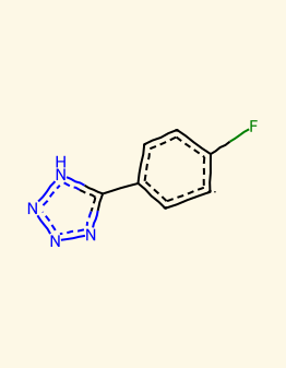 Fc1[c]cc(-c2nnn[nH]2)cc1